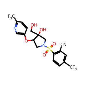 N#Cc1cc(C(F)(F)F)ccc1S(=O)(=O)N1CC(Oc2ccc(C(F)(F)F)nc2)[C@](O)(CO)C1